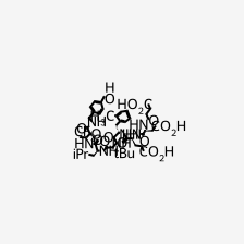 Cc1ccccc1C[C@H](NC(=O)[C@H](CCC(=O)O)NC(=O)[C@H](CC(=O)O)NC(=O)CCC(=O)O)C(=O)N[C@H](C(=O)N[C@@H](CC(C)C)C(=O)NC(CC(F)(F)F)C(=O)C(=O)NCc1ccc(CO)cc1)C(C)(C)C